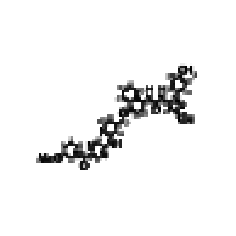 CO[C@@H]1CCCN(C(=O)c2cnc(Nc3cc(COc4ccc(NC(=O)Nc5cc(C(C)(C)C)nn5-c5ccc(C)cc5)c5ccccc45)ccn3)cn2)C1